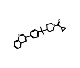 CC(C)(c1ccc(-c2cnc3ccccc3c2)cc1)C1CCN(C(=O)C2CC2)CC1